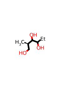 CCC(O)C(O)[C@H](C)CO